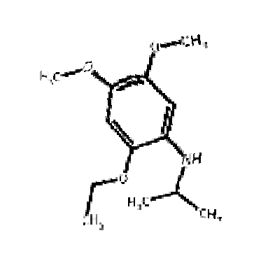 CCOc1cc(OC)c(OC)cc1NC(C)C